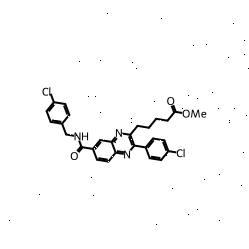 COC(=O)CCCCc1nc2cc(C(=O)NCc3ccc(Cl)cc3)ccc2nc1-c1ccc(Cl)cc1